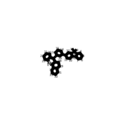 CC1(C)c2ccccc2-c2ccc(-c3cccc(-c4c5ccccc5nc5c4ccc4ccccc45)c3)cc21